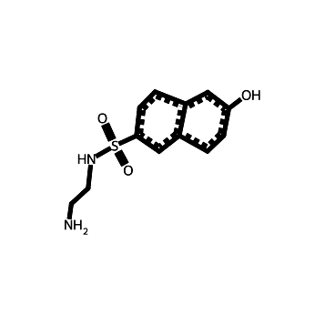 NCCNS(=O)(=O)c1ccc2cc(O)ccc2c1